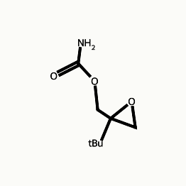 CC(C)(C)C1(COC(N)=O)CO1